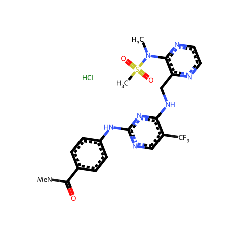 CNC(=O)c1ccc(Nc2ncc(C(F)(F)F)c(NCc3nccnc3N(C)S(C)(=O)=O)n2)cc1.Cl